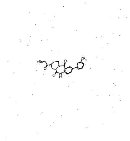 CC(C)(C)CC(=O)N1CCN2C(=O)c3cc(-c4cccc(C(F)(F)F)c4)ccc3NC(=O)C2C1